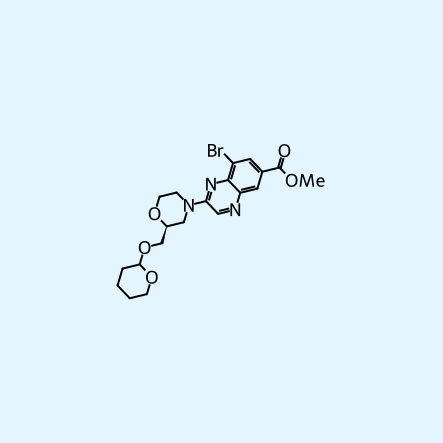 COC(=O)c1cc(Br)c2nc(N3CCO[C@H](COC4CCCCO4)C3)cnc2c1